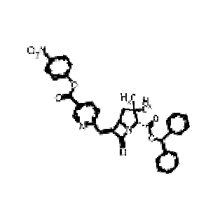 CC1(C)CC2/C(=C\c3ccc(C(=O)Oc4ccc([N+](=O)[O-])cc4)cn3)C(=O)N2[C@H]1C(=O)OC(c1ccccc1)c1ccccc1